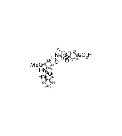 COc1cc(CC(=O)N2CCCC2CS(=O)(=O)c2ccc(C(=O)O)cc2)ccc1NC(=O)Nc1ccccc1C